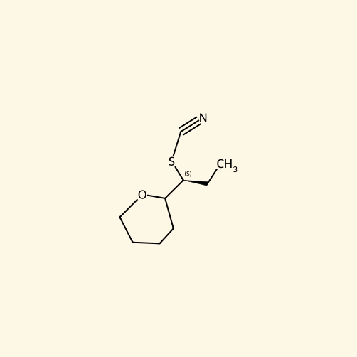 CC[C@H](SC#N)C1CCCCO1